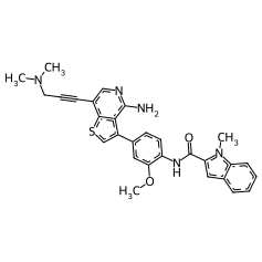 COc1cc(-c2csc3c(C#CCN(C)C)cnc(N)c23)ccc1NC(=O)c1cc2ccccc2n1C